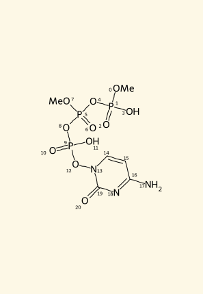 COP(=O)(O)OP(=O)(OC)OP(=O)(O)On1ccc(N)nc1=O